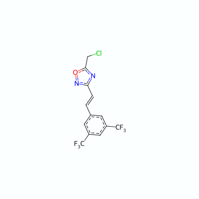 FC(F)(F)c1cc(/C=C/c2noc(CCl)n2)cc(C(F)(F)F)c1